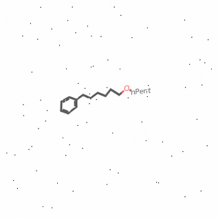 [CH2]CCCCOCCCCCCc1ccccc1